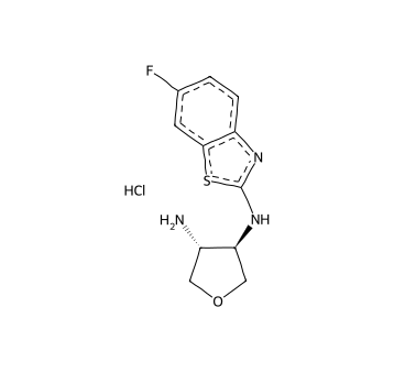 Cl.N[C@H]1COC[C@@H]1Nc1nc2ccc(F)cc2s1